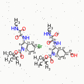 CNC(=O)C(=O)Nc1cn(C(=O)OC(C)(C)C)c2ccc(Br)cc12.CNC(=O)C(=O)Nc1cn(C(=O)OC(C)(C)C)c2ccc(CO)cc12